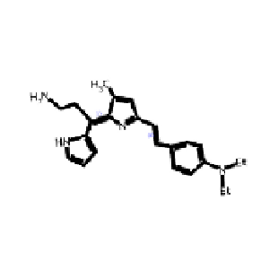 CCN(CC)c1ccc(/C=C/C2=NC(=C(/CCN)c3ccc[nH]3)/C(C)=C2)cc1